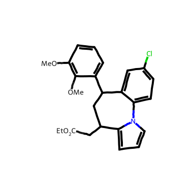 CCOC(=O)CC1CC(c2cccc(OC)c2OC)c2cc(Cl)ccc2-n2cccc21